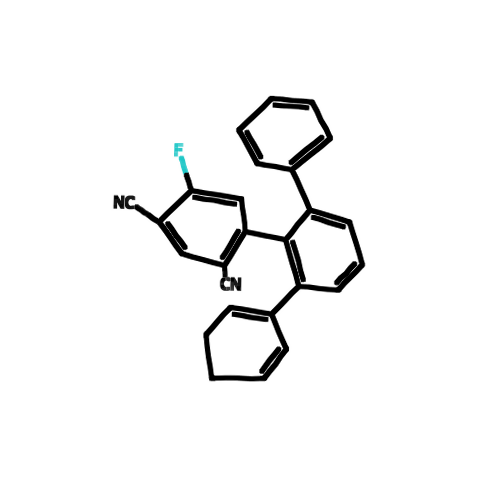 N#Cc1cc(C#N)c(-c2c(C3=CCCC=C3)cccc2-c2ccccc2)cc1F